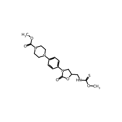 COC(=O)N1CCN(c2ccc(N3CC(CNC(=S)OC)OC3=O)cc2)CC1